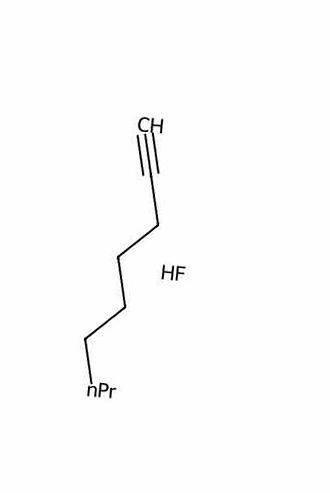 C#CCCCCCCC.F